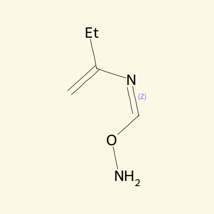 C=C(CC)/N=C\ON